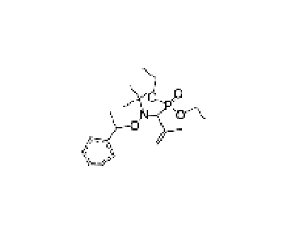 C=C(C)C(N(OC(C)c1ccccc1)C(C)(C)C)P(=O)(OCC)OCC